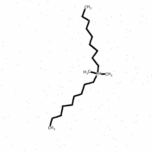 CCCCCCCCC[PH](C)(C)CCCCCCCCC